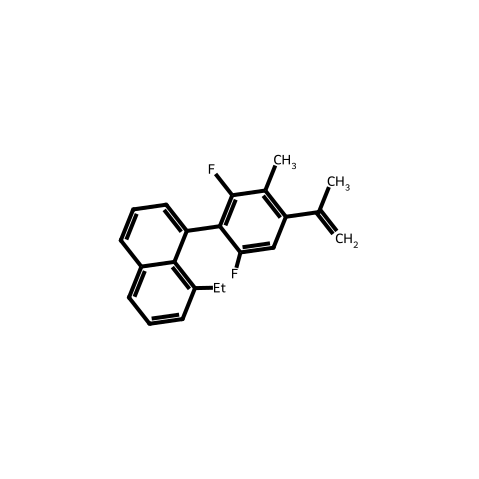 C=C(C)c1cc(F)c(-c2cccc3cccc(CC)c23)c(F)c1C